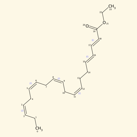 CC/C=C\C/C=C\C/C=C\C/C=C\CC/C=C/C=C/C(=O)OCC